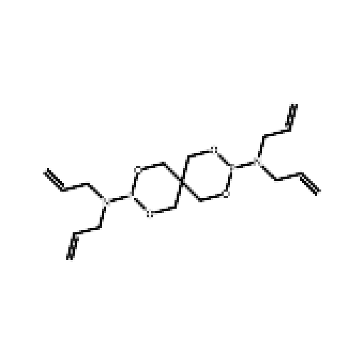 C=CCN(CC=C)P1OCC2(CO1)COP(N(CC=C)CC=C)OC2